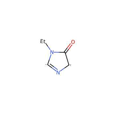 CCN1[C]=N[C]C1=O